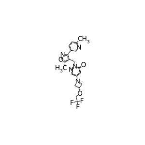 Cc1ccc(-c2noc(C)c2Cn2ncc(N3CC(OCC(F)(F)F)C3)cc2=O)cn1